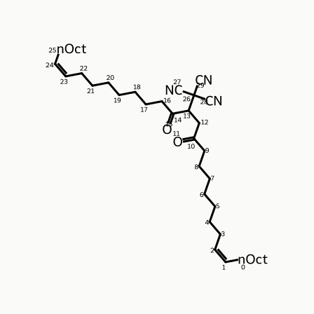 CCCCCCCC/C=C\CCCCCCCC(=O)CC(C(=O)CCCCCCC/C=C\CCCCCCCC)C(C#N)(C#N)C#N